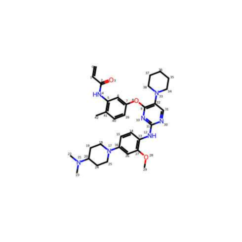 C=CC(=O)Nc1cc(Oc2nc(Nc3ccc(N4CCC(N(C)C)CC4)cc3OC)ncc2N2CCCCC2)ccc1C